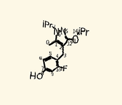 Cc1c(Cc2ccc(O)cc2F)c(OC(C)C)nn1C(C)C